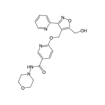 O=C(NN1CCOCC1)c1ccc(OCc2c(-c3ccccn3)noc2CO)nc1